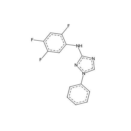 Fc1cc(F)c(Nc2ncn(-c3ccccc3)n2)cc1F